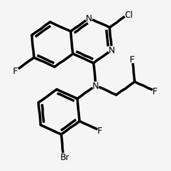 Fc1ccc2nc(Cl)nc(N(CC(F)F)c3cccc(Br)c3F)c2c1